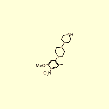 COc1cc(N2CCC(C3CCNCC3)CC2)c(C)cc1[N+](=O)[O-]